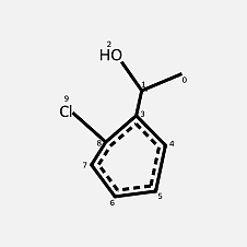 C[C](O)c1ccccc1Cl